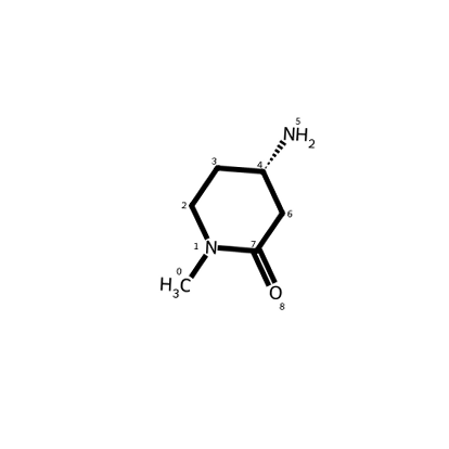 CN1CC[C@H](N)CC1=O